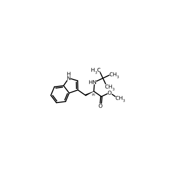 COC(=O)[C@@H](Cc1c[nH]c2ccccc12)NC(C)(C)C